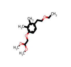 CCOCCc1ccc(OCC(OC)OC)c(C)c1C